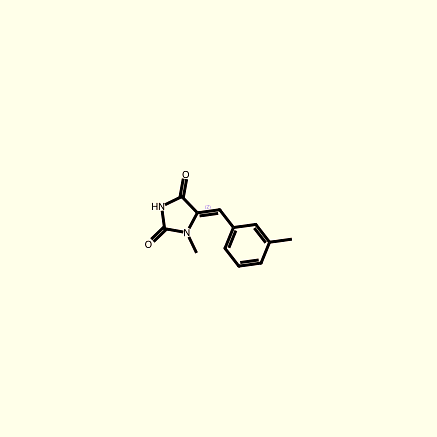 Cc1cccc(/C=C2/C(=O)NC(=O)N2C)c1